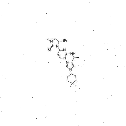 CC(C)[C@H]1CN(C)C(=O)N1c1ccnc(N[C@@H](C)c2cn(C3CCC(C)(C)CC3)cn2)n1